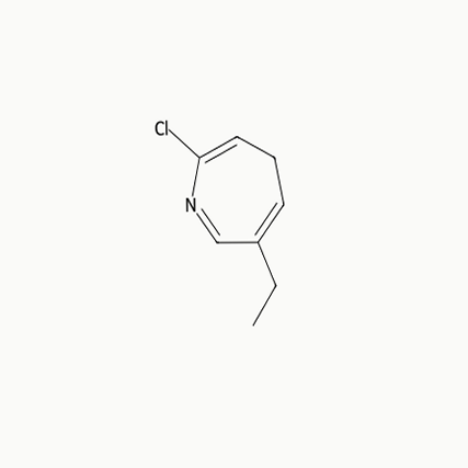 CCC1=CCC=C(Cl)N=C1